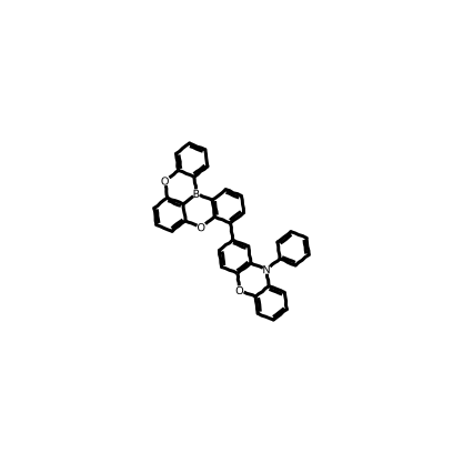 c1ccc(N2c3ccccc3Oc3ccc(-c4cccc5c4Oc4cccc6c4B5c4ccccc4O6)cc32)cc1